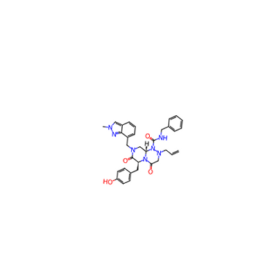 C=CCN1CC(=O)N2[C@@H](Cc3ccc(O)cc3)C(=O)N(Cc3cccc4cn(C)nc34)C[C@@H]2N1C(=O)NCc1ccccc1